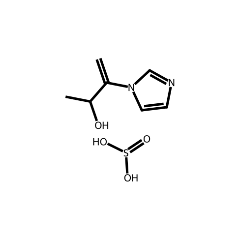 C=C(C(C)O)n1ccnc1.O=S(O)O